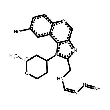 C[C@@H]1CC(n2c(CN/C=N\N=N)nc3cnc4ccc(C#N)cc4c32)CCO1